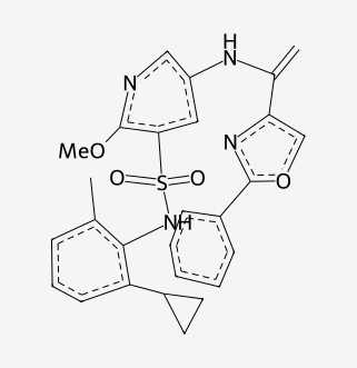 C=C(Nc1cnc(OC)c(S(=O)(=O)Nc2c(C)cccc2C2CC2)c1)c1coc(-c2ccccc2)n1